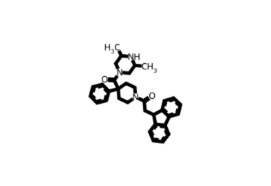 CC1CN(C(=O)C2(c3ccccc3)CCN(C(=O)CC3c4ccccc4-c4ccccc43)CC2)CC(C)N1